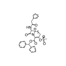 CS(=O)(=O)OC1=C(C(=O)OC(c2ccccc2)c2ccccc2)N2C(=O)[C@@H](NC(=O)Cc3ccsc3)[C@@H]2SC1